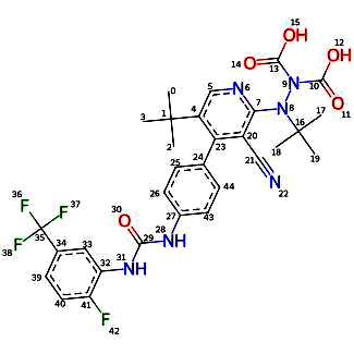 CC(C)(C)c1cnc(N(N(C(=O)O)C(=O)O)C(C)(C)C)c(C#N)c1-c1ccc(NC(=O)Nc2cc(C(F)(F)F)ccc2F)cc1